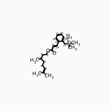 CC(C)=CCCC(C)CCOC(=O)/C=C/c1ccccc1C[Si](C)(C)C